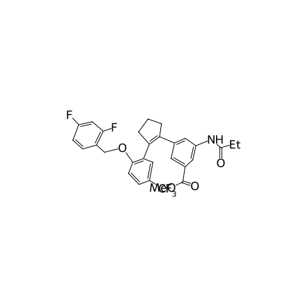 CCC(=O)Nc1cc(C(=O)OC)cc(C2=C(c3cc(C(F)(F)F)ccc3OCc3ccc(F)cc3F)CCC2)c1